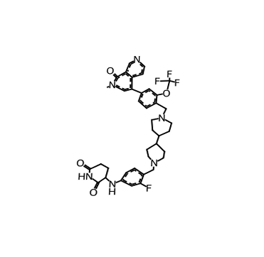 Cn1cc(-c2ccc(CN3CCC(C4CCN(Cc5ccc(NC6CCC(=O)NC6=O)cc5F)CC4)CC3)c(OC(F)(F)F)c2)c2ccncc2c1=O